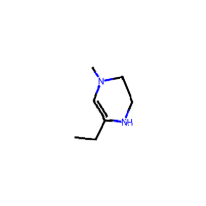 CCC1=CN(C)CCN1